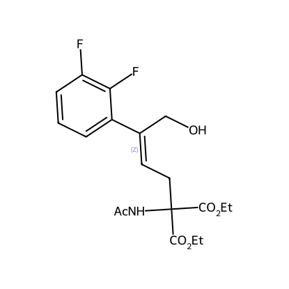 CCOC(=O)C(C/C=C(\CO)c1cccc(F)c1F)(NC(C)=O)C(=O)OCC